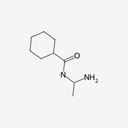 CC(N)[N]C(=O)C1CCCCC1